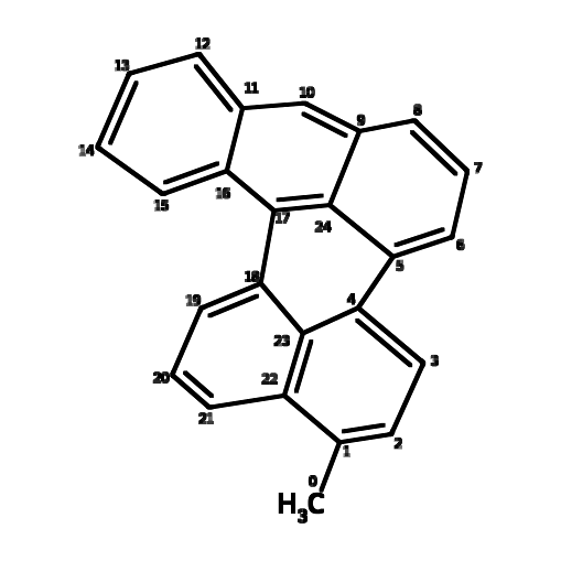 Cc1ccc2c3cccc4cc5ccccc5c(c5cccc1c25)c43